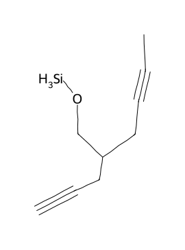 C#CCC(CC#CC)CO[SiH3]